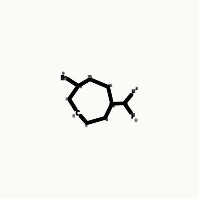 FC(F)[C]1CCCCC(Br)CC1